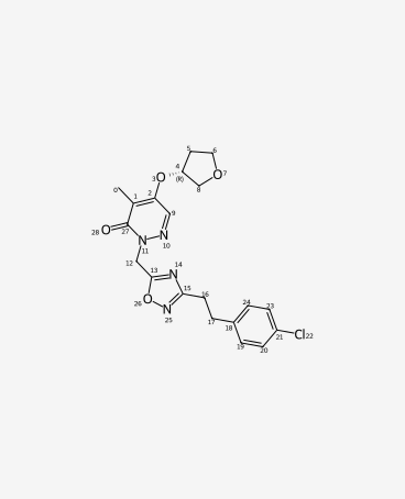 Cc1c(O[C@@H]2CCOC2)cnn(Cc2nc(CCc3ccc(Cl)cc3)no2)c1=O